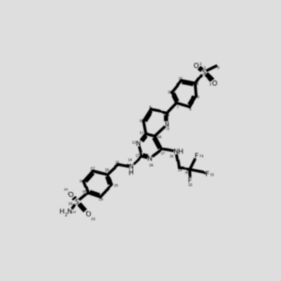 CS(=O)(=O)c1ccc(-c2ccc3nc(NCc4ccc(S(N)(=O)=O)cc4)nc(NCC(F)(F)F)c3n2)cc1